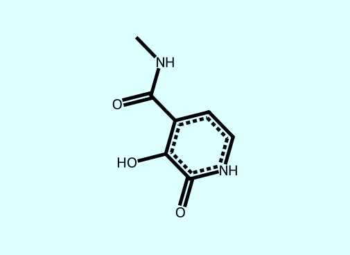 CNC(=O)c1cc[nH]c(=O)c1O